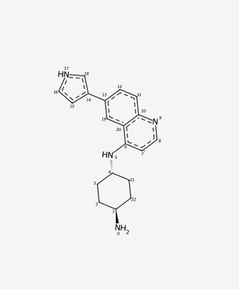 N[C@H]1CC[C@H](Nc2[c]cnc3ccc(-c4cc[nH]c4)cc23)CC1